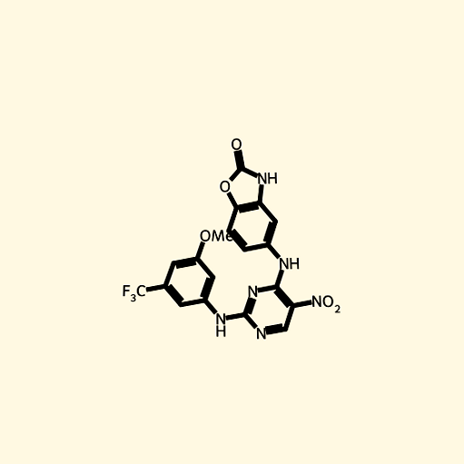 COc1cc(Nc2ncc([N+](=O)[O-])c(Nc3ccc4oc(=O)[nH]c4c3)n2)cc(C(F)(F)F)c1